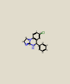 Clc1ccc2c(c1)C(c1ccccc1)NC1=NCCN12